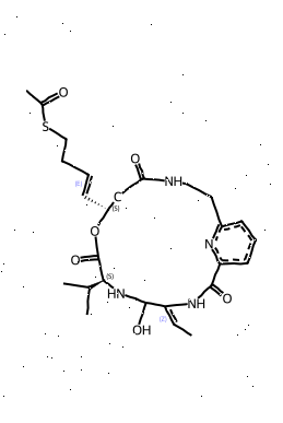 C/C=C1\NC(=O)c2cccc(n2)CCNC(=O)C[C@@H](/C=C/CCSC(C)=O)OC(=O)[C@H](C(C)C)NC1O